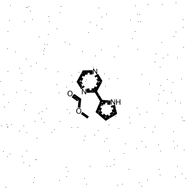 COC=O.c1c[nH]c(-c2cnccn2)c1